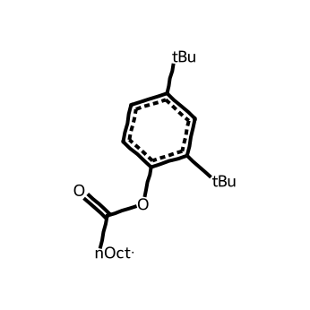 CCCCCCC[CH]C(=O)Oc1ccc(C(C)(C)C)cc1C(C)(C)C